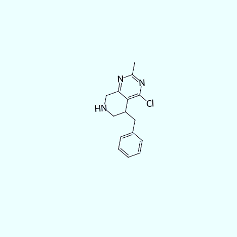 Cc1nc(Cl)c2c(n1)CNCC2Cc1ccccc1